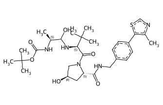 Cc1ncsc1-c1ccc(CNC(=O)[C@@H]2C[C@@H](O)CN2C(=O)[C@@H](NC(O)[C@H](C)NC(=O)OC(C)(C)C)C(C)(C)C)cc1